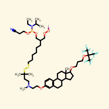 CCN(C(C)C)P(OCCC#N)OCC(CCCCCCSSC(C)(C)CCN(C)CCOc1ccc2c(c1)CCC1C2CCC2(C)C(OCCCOC(C(F)(F)F)(C(F)(F)F)C(F)(F)F)CCC12)COOI